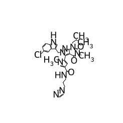 CC(C)Cn1c(=O)n(C)c(=O)c2c(-c3cc(C(=O)NCCCn4ccnc4)cn3C)n(Cc3c[nH]c4ccc(Cl)cc34)nc21